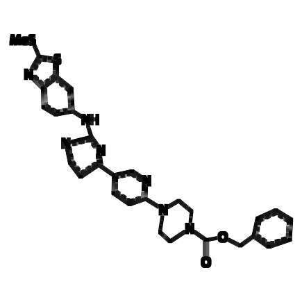 CSc1nc2ccc(Nc3nccc(-c4ccc(N5CCN(C(=O)OCc6ccccc6)CC5)nc4)n3)cc2s1